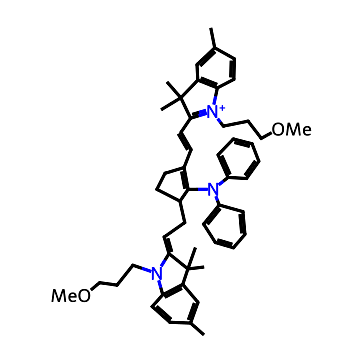 COCCCN1/C(=C/CC2CCC(/C=C/C3=[N+](CCCOC)c4ccc(C)cc4C3(C)C)=C2N(c2ccccc2)c2ccccc2)C(C)(C)c2cc(C)ccc21